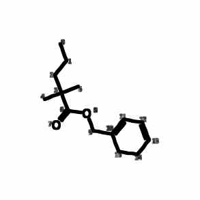 CCCC(C)(C)C(=O)OCC1=CC=CCC1